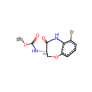 CC(C)(C)OC(=O)N[C@H]1COc2cccc(Br)c2NC1=O